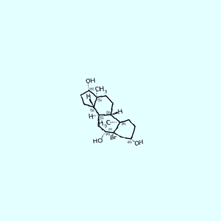 C[C@]12CC[C@H]3[C@@H](C[C@@H](O)[C@]4(Br)C[C@@H](O)CC[C@]34C)[C@@H]1CC[C@@H]2O